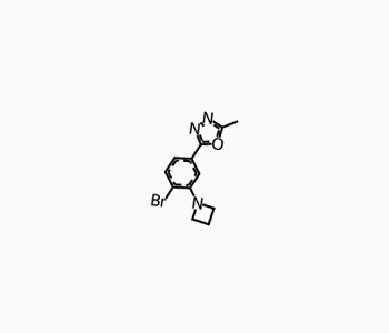 Cc1nnc(-c2ccc(Br)c(N3CCC3)c2)o1